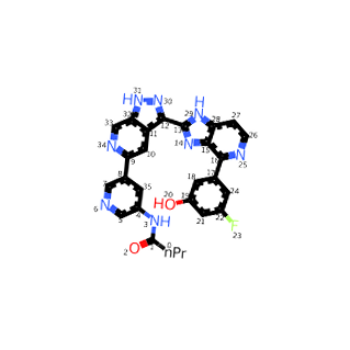 CCCC(=O)Nc1cncc(-c2cc3c(-c4nc5c(-c6cc(O)cc(F)c6)nccc5[nH]4)n[nH]c3cn2)c1